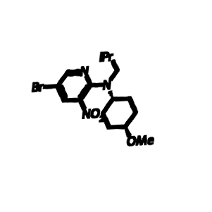 CO[C@H]1CC[C@H](N(CC(C)C)c2ncc(Br)cc2[N+](=O)[O-])CC1